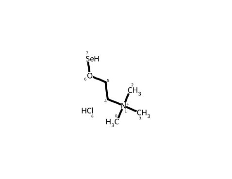 C[N+](C)(C)CCO[SeH].Cl